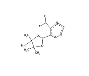 CC1(C)OB(c2cncnc2C(F)F)OC1(C)C